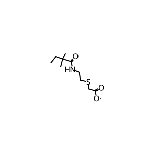 CCC(C)(C)C(=O)NCCSCC([O])=O